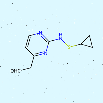 O=CCc1ccnc(NSC2CC2)n1